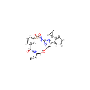 CC(C)C[C@@H]1COc2cc(-c3ccccc3C3CC3)nc(n2)NS(=O)(=O)c2cccc(c2)C(=O)N1